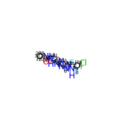 Cn1c(Nc2c(F)cc(Cl)cc2F)nc2cnc(N[C@@H]3CCCN(C(=O)Nc4ccccc4)C3)nc21